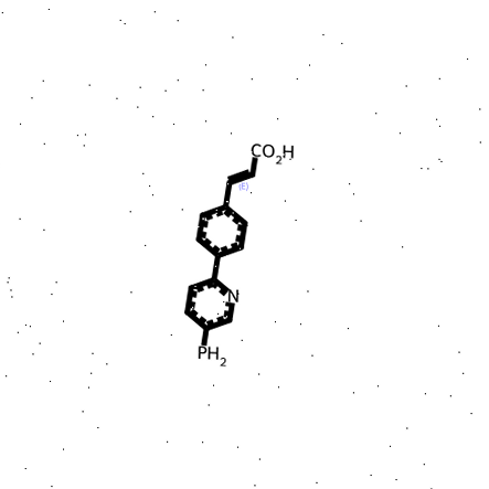 O=C(O)/C=C/c1ccc(-c2ccc(P)cn2)cc1